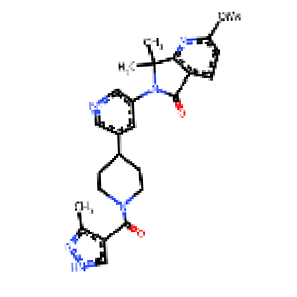 COc1ccc2c(n1)C(C)(C)N(c1cncc(C3CCN(C(=O)c4c[nH]nc4C)CC3)c1)C2=O